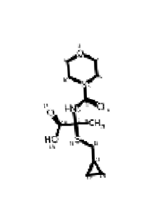 CC(NC(=O)N1CCOCC1)(SCC1CC1)C(=O)O